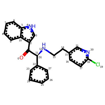 O=C(c1c[nH]c2ccccc12)[C@@H](NCCc1ccc(Cl)nc1)c1ccccc1